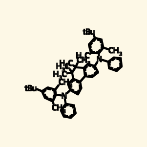 Cc1cc(C(C)(C)C)cc(C)c1N(c1ccccc1)c1ccc2c(c1)C(C)(C)C(C)(C)c1cc(N(c3ccccc3)c3c(C)cc(C(C)(C)C)cc3C)ccc1-2